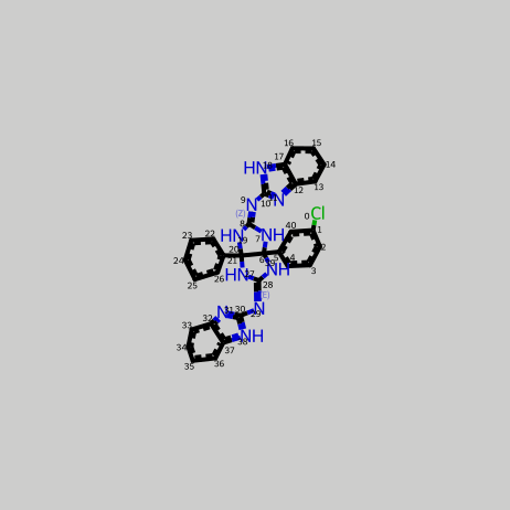 Clc1cccc(C23N/C(=N\c4nc5ccccc5[nH]4)NC2(c2ccccc2)N/C(=N\c2nc4ccccc4[nH]2)N3)c1